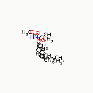 COCC(=O)NC(CC(C)C)C(=O)O[C@H]1CC[C@@]2(C)C(=CC[C@H]3[C@@H]4CC[C@H]([C@H](C)CCCC(C)C)[C@@]4(C)CC[C@@H]32)C1